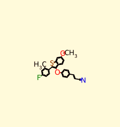 COc1ccc2c(Oc3ccc(C=CC#N)cc3)c(-c3ccc(F)cc3C)sc2c1